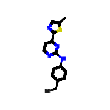 Cc1cnc(-c2ccnc(Nc3ccc(CC#N)cc3)n2)s1